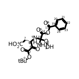 CC(C)(C)OC(=O)C(=O)[C@H](CC(=O)O)NC(N)(OO)C(=O)OC(=O)c1ccccc1